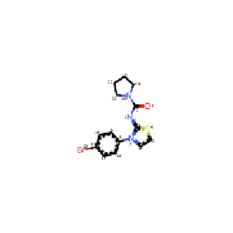 O=C(N=c1sccn1-c1ccc(Br)cc1)N1CCCC1